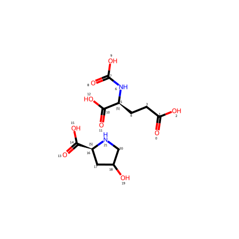 O=C(O)CC[C@H](NC(=O)O)C(=O)O.O=C(O)[C@@H]1CC(O)CN1